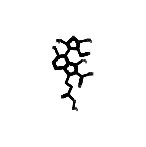 COC(=O)CCc1c(C(=O)O)n(C)c2c(-c3c(C)nn(C)c3C=O)c(Cl)ccc12